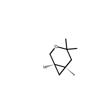 CC1(C)C[C@@]2(C)C[C@H]2CO1